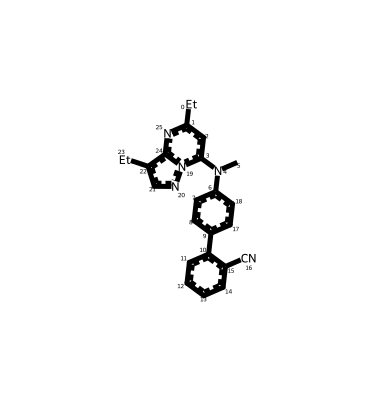 CCc1cc(N(C)c2ccc(-c3ccccc3C#N)cc2)n2ncc(CC)c2n1